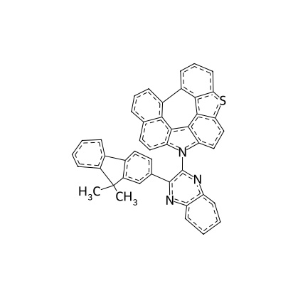 CC1(C)c2ccccc2-c2ccc(-c3nc4ccccc4nc3-n3c4ccc5cccc6c5c4c4c5c(ccc43)sc3cccc-6c35)cc21